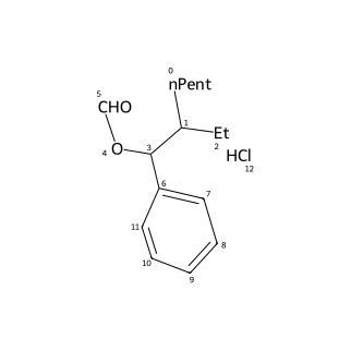 CCCCCC(CC)C(OC=O)c1ccccc1.Cl